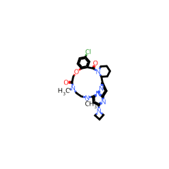 CN1CCN(C)c2cc(N3CCC3)nc3cc(nn23)C2CCCCN2C(=O)c2cc(Cl)ccc2OCC1=O